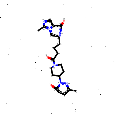 Cc1ccc(=O)n(C2CCN(C(=O)CCCc3cn4c(C)ncc4c(=O)[nH]3)CC2)n1